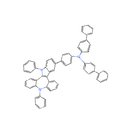 c1ccc(-c2ccc(N(c3ccc(-c4ccccc4)cc3)c3ccc(-c4ccc5c(c4)c4c(n5-c5ccccc5)-c5ccccc5N(c5ccccc5)c5ccccc5-4)cc3)cc2)cc1